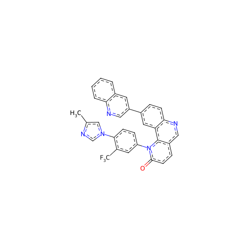 Cc1cn(-c2ccc(-n3c(=O)ccc4cnc5ccc(-c6cnc7ccccc7c6)cc5c43)cc2C(F)(F)F)cn1